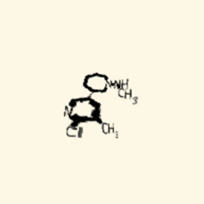 CNN1CCCC[C@@H](c2cnc(Cl)c(C)c2)C1